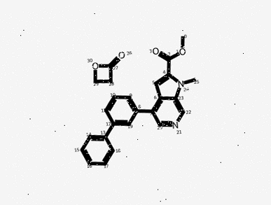 COC(=O)c1cc2c(-c3cccc(-c4ccccc4)c3)cncc2n1C.O=C1CCO1